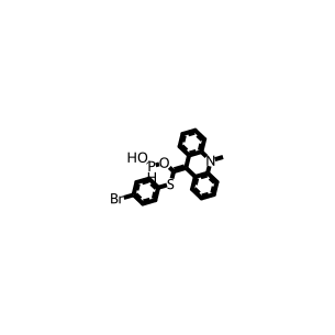 CN1c2ccccc2C(=C(OPO)Sc2ccc(Br)cc2)c2ccccc21